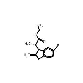 C=C1Cc2ccc(F)cc2C1[C@H](C)C(=O)OCC